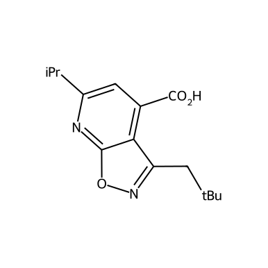 CC(C)c1cc(C(=O)O)c2c(CC(C)(C)C)noc2n1